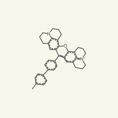 Cc1ccc(-c2ccc(C3=c4cc5c6c(c4Oc4c3cc3c7c4CCCN7CCC3)CCC[N+]=6CCC5)cc2)cc1